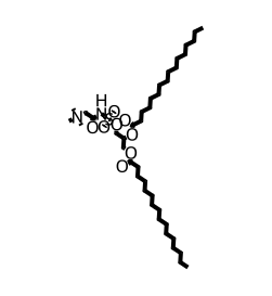 CCCCCCCCCCCCCCCC(=O)OCC(COS(=O)(=O)NC(=O)C[N+](C)(C)C)OC(=O)CCCCCCCCCCCCCCC